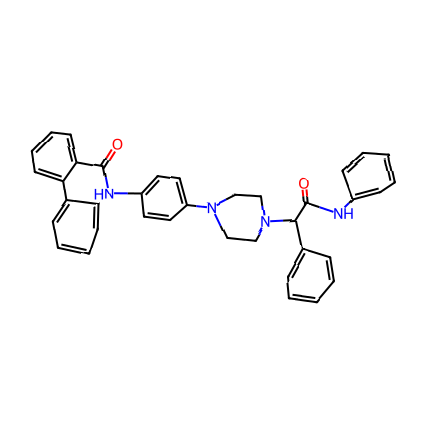 O=C(Nc1ccc(N2CCN(C(C(=O)Nc3ccccc3)c3ccccc3)CC2)cc1)c1ccccc1-c1ccccc1